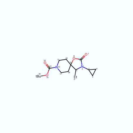 CCC1N(C2CC2)C(=O)OC12CCN(C(=O)OC(C)(C)C)CC2